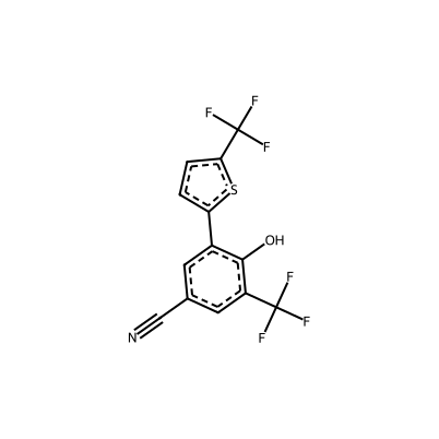 N#Cc1cc(-c2ccc(C(F)(F)F)s2)c(O)c(C(F)(F)F)c1